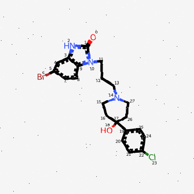 O=c1[nH]c2cc(Br)ccc2n1CCCN1CCC(O)(c2ccc(Cl)cc2)CC1